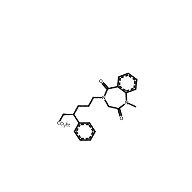 CCOC(=O)C[C@@H](CCCN1CC(=O)N(C)c2ccccc2C1=O)c1ccccc1